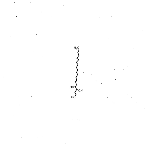 CCCCCCCCCCCCCC=CCC(O)C(O)CCO